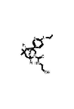 CCOc1ccc(N2C[C@@H]3CC(C)(C)[C@H]2CCN3C(=O)NCCO)cn1